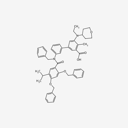 CCN(c1cc(-c2cccc(N(Cc3ccccc3)C(=O)c3cc(C(C)C)c(OCc4ccccc4)cc3OCc3ccccc3)c2)cc(C(=O)O)c1C)C1CCOCC1